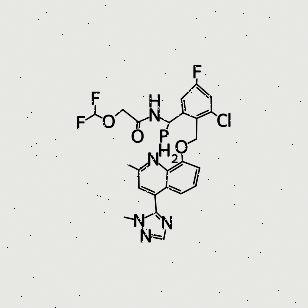 Cc1cc(-c2ncnn2C)c2cccc(OCc3c(Cl)cc(F)cc3C(P)NC(=O)COC(F)F)c2n1